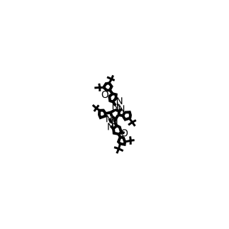 CC(C)(C)c1cc(C(C)(C)C)c2oc3cc4c(cc3c2c1)nc1n4c2c3c4cc(C(C)(C)C)ccc4n4c3c(c3c5cc(C(C)(C)C)ccc5n1c32)n1c2cc3oc5c(C(C)(C)C)cc(C(C)(C)C)cc5c3cc2nc14